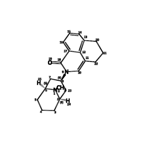 CN1[C@@H]2CCC[C@H]1C[C@@H](n1cc3c4c(cccc4c1=O)CCC3)C2